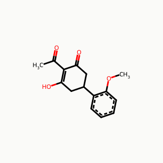 COc1ccccc1C1CC(=O)C(C(C)=O)=C(O)C1